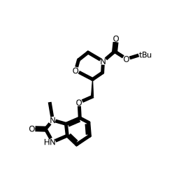 Cn1c(=O)[nH]c2cccc(OC[C@@H]3CN(C(=O)OC(C)(C)C)CCO3)c21